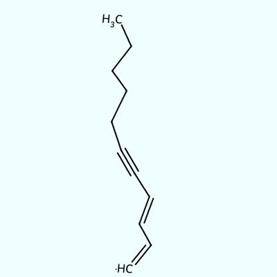 [CH]=C/C=C/C#CCCCCC